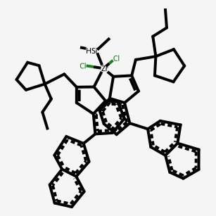 CCCC1(CC2=Cc3c(-c4ccc5ccccc5c4)cccc3[CH]2[Zr]([Cl])([Cl])([CH]2C(CC3(CCC)CCCC3)=Cc3c(-c4ccc5ccccc5c4)cccc32)[SiH](C)C)CCCC1